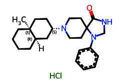 C[C@@]12CCCC[C@@H]1C[C@@H](N1CCC3(CC1)C(=O)NCN3c1ccccc1)CC2.Cl